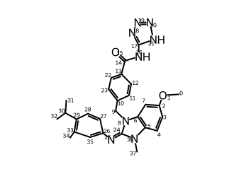 COc1ccc2c(c1)n(Cc1ccc(C(=O)Nc3nnn[nH]3)cc1)c(=Nc1ccc(C(C)C)c(C)c1)n2C